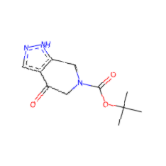 CC(C)(C)OC(=O)N1CC(=O)c2cn[nH]c2C1